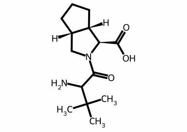 CC(C)(C)C(N)C(=O)N1C[C@@H]2CCC[C@@H]2[C@H]1C(=O)O